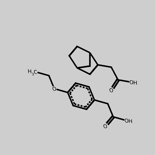 CCOc1ccc(CC(=O)O)cc1.O=C(O)CC1CC2CCC1C2